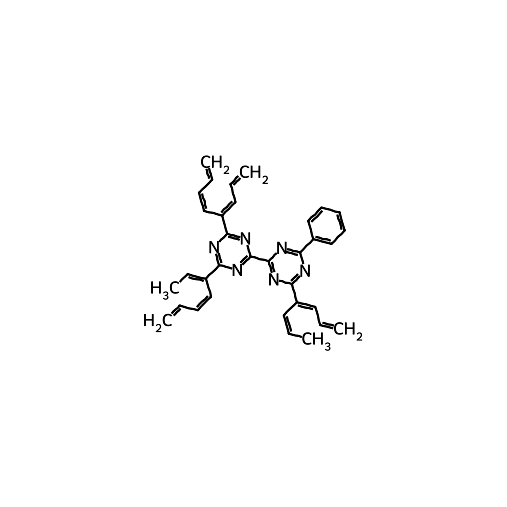 C=C/C=C\C(=C/C)c1nc(C(/C=C\C=C)=C/C=C)nc(-c2nc(C(/C=C\C)=C/C=C)nc(-c3ccccc3)n2)n1